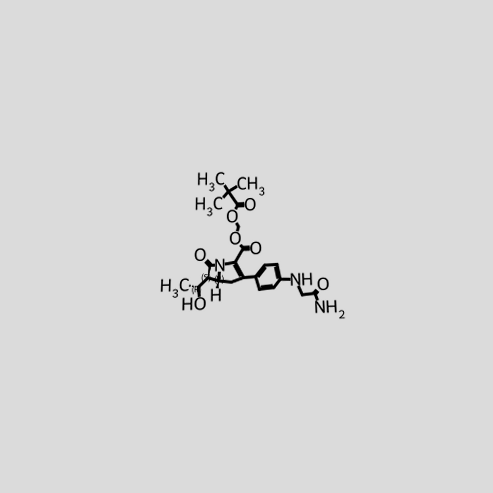 C[C@@H](O)[C@H]1C(=O)N2C(C(=O)OCOC(=O)C(C)(C)C)=C(c3ccc(NCC(N)=O)cc3)C[C@H]12